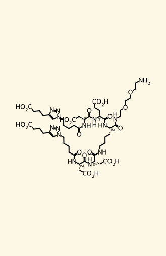 NCCOCCOCCNC(=O)[C@H](CCCCNC(=O)[C@H](CC(=O)O)NC(=O)[C@H](CC(=O)O)NC(=O)CCCCn1cc(CCCC(=O)O)nn1)NC(=O)[C@H](CCC(=O)O)NC(=O)[C@H](CC(=O)O)NC(=O)CCCCn1cc(CCCC(=O)O)nn1